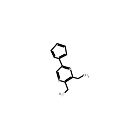 CCc1ncc(-c2ccccc2)nc1CC